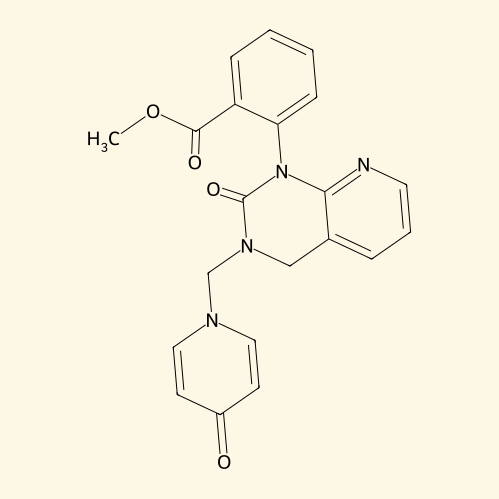 COC(=O)c1ccccc1N1C(=O)N(Cn2ccc(=O)cc2)Cc2cccnc21